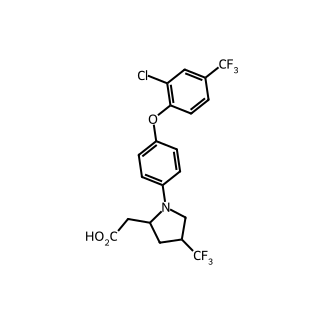 O=C(O)CC1CC(C(F)(F)F)CN1c1ccc(Oc2ccc(C(F)(F)F)cc2Cl)cc1